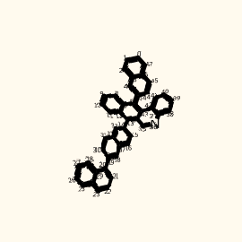 c1ccc2cc(-c3c4ccccc4c(-c4ccc5cc(-c6cccc7ccccc67)ccc5c4)c4cnc5ccccc5c34)ccc2c1